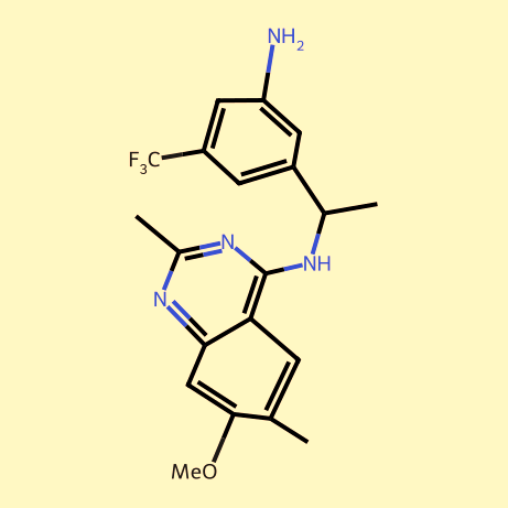 COc1cc2nc(C)nc(NC(C)c3cc(N)cc(C(F)(F)F)c3)c2cc1C